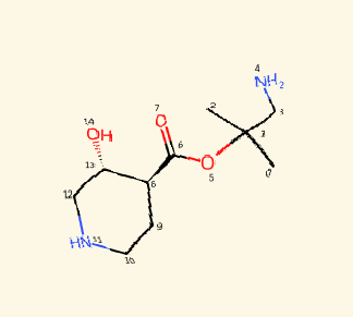 CC(C)(CN)OC(=O)[C@H]1CCNC[C@@H]1O